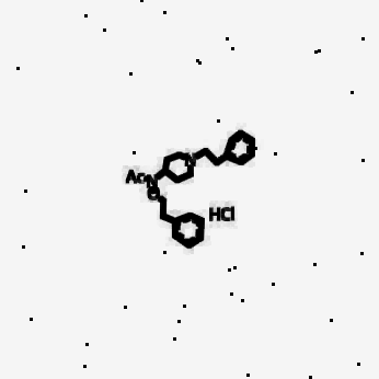 CC(=O)N(OCCc1ccccc1)C1CCN(CCc2ccccc2)CC1.Cl